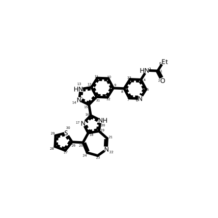 CCC(=O)Nc1cncc(-c2ccc3[nH]nc(-c4nc5c([nH]4)C=NCC=C5c4cccs4)c3c2)c1